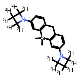 [2H]C1([2H])N(c2ccc3c(c2)[Si](C)(C)c2cc(N4C([2H])([2H])C([2H])([2H])C4([2H])[2H])ccc2C3)C([2H])([2H])C1([2H])[2H]